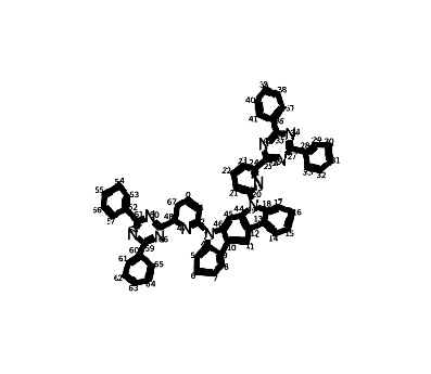 C1=CC(n2c3ccccc3c3cc4c5ccccc5n(-c5cccc(-c6nc(-c7ccccc7)nc(-c7ccccc7)n6)n5)c4cc32)=NC(c2nc(-c3ccccc3)nc(-c3ccccc3)n2)C1